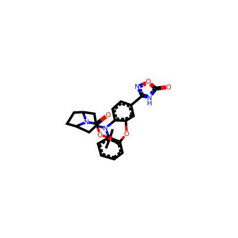 CC(C)(C)OC(=O)N1C2CCC1CC(N1c3ccccc3Oc3cc(-c4noc(=O)[nH]4)ccc31)C2